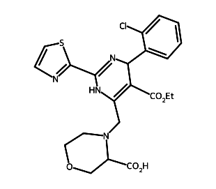 CCOC(=O)C1=C(CN2CCOCC2C(=O)O)NC(c2nccs2)=NC1c1ccccc1Cl